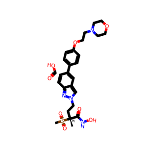 C[C@@](CCn1cc2cc(-c3ccc(OCCN4CCOCC4)cc3)ccc2n1)(C(=O)NO)S(C)(=O)=O.O=CO